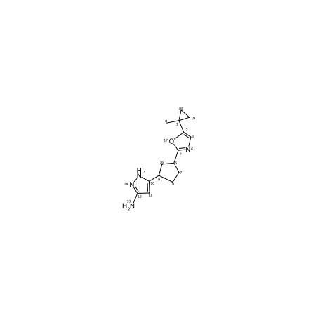 CC1(c2cnc(C3CCC(c4cc(N)n[nH]4)C3)o2)CC1